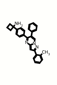 Cc1ccccc1-c1cc2nc(-c3ccc(C4(N)CCC4)cc3)c(-c3ccccc3)cn2n1